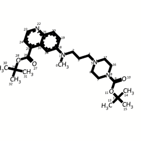 CN(CCCN1CCN(C(=O)OC(C)(C)C)CC1)c1ccc2nccc(C(=O)OC(C)(C)C)c2c1